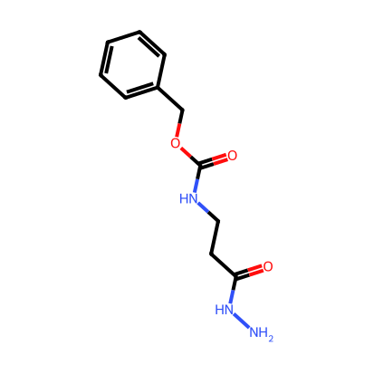 NNC(=O)CCNC(=O)OCc1ccccc1